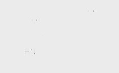 O=C1NCCC1=C1COC1